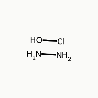 NN.OCl